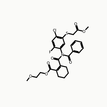 COCCOC(=O)C1=C(C(=O)N(C(=O)c2ccccc2)c2cc(SCC(=O)OC)c(Cl)cc2F)CCCC1